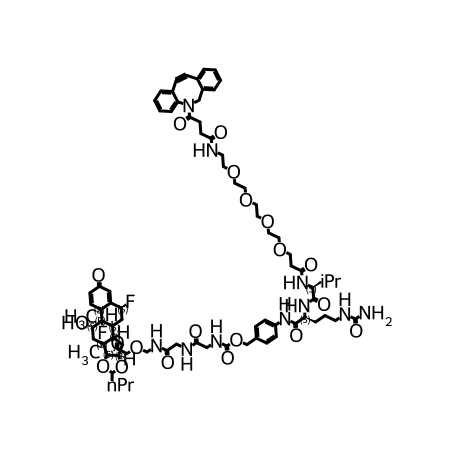 CCCC1O[C@@H]2C[C@H]3[C@@H]4C[C@H](F)C5=CC(=O)C=C[C@]5(C)[C@@]4(F)[C@@H](O)C[C@]3(C)[C@]2(C(=O)COCNC(=O)CNC(=O)CNC(=O)OCc2ccc(NC(=O)[C@H](CCCNC(N)=O)NC(=O)[C@@H](NC(=O)CCOCCOCCOCCOCCNC(=O)CCC(=O)N3Cc4ccccc4C#Cc4ccccc43)C(C)C)cc2)O1